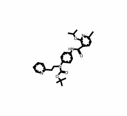 Cc1ccc(C(=O)Nc2ccc(N(CCc3ccccn3)C(=O)OC(C)(C)C)cc2)c(OC(C)C)n1